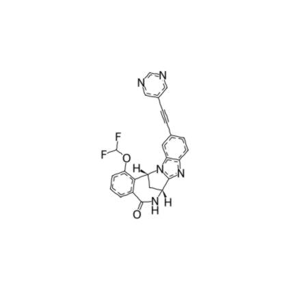 O=C1N[C@@H]2C[C@H](c3c(OC(F)F)cccc31)n1c2nc2ccc(C#Cc3cncnc3)cc21